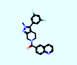 Cn1nc2c(c1-c1cc(F)cc(F)c1)CCN(C(=O)c1ccc3ncccc3c1)C2